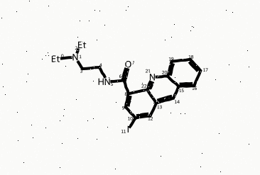 CCN(CC)CCNC(=O)c1cc(I)cc2cc3ccccc3nc12